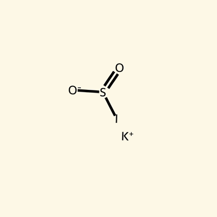 O=S([O-])I.[K+]